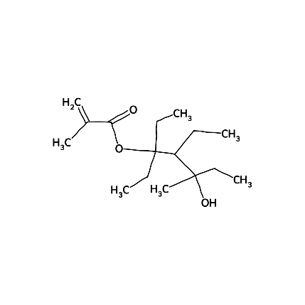 C=C(C)C(=O)OC(CC)(CC)C(CC)C(C)(O)CC